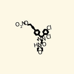 Cn1c(C(=O)NN2CCOCC2)nc(-c2ccc(Cl)cc2Cl)c1-c1ccc(C#CCCO[N+](=O)[O-])cc1